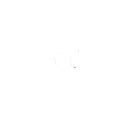 C[C@@H]1NC[C@H](O)[C@@H](O)[C@@]1(C)O